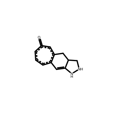 O=c1cccc2c(c1)CC1CNNC1=C2